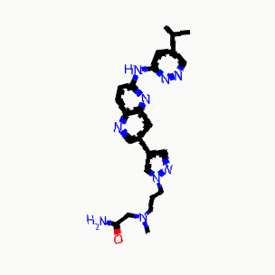 CC(C)c1cnnc(Nc2ccc3ncc(-c4cnn(CCCN(C)CC(N)=O)c4)cc3n2)c1